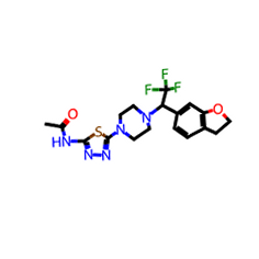 CC(=O)Nc1nnc(N2CCN(C(c3ccc4c(c3)OCC4)C(F)(F)F)CC2)s1